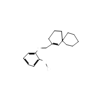 CCOc1ccccc1OCC1=CC2(CCCCC2)CCC1